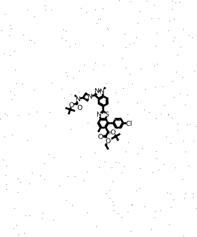 CCOC(=O)[C@@H](OC(C)(C)C)c1c(C)cc2nc(-c3ccc4c(c3)c(N3CC(N(C)C(=O)OC(C)(C)C)C3)nn4C)sc2c1-c1ccc(Cl)cc1